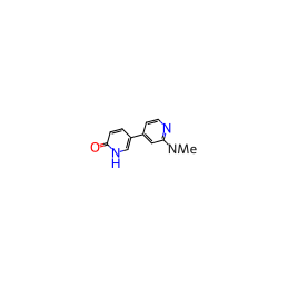 CNc1cc(-c2ccc(=O)[nH]c2)ccn1